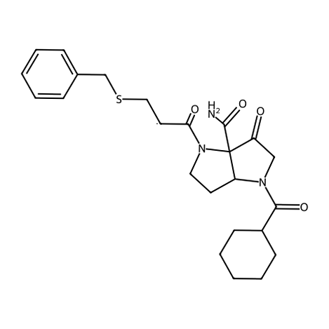 NC(=O)C12C(=O)CN(C(=O)C3CCCCC3)C1CCN2C(=O)[CH]CSCc1ccccc1